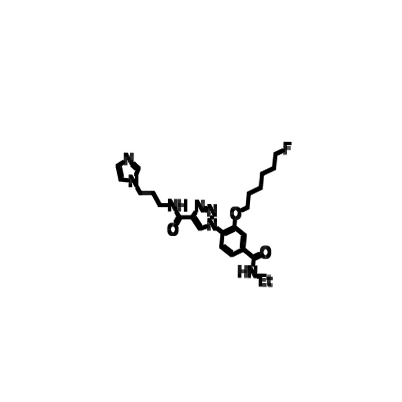 CCNC(=O)c1ccc(-n2cc(C(=O)NCCCn3ccnc3)nn2)c(OCCCCCCF)c1